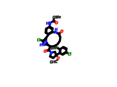 CNc1ccc(Cl)cc1[C@]1(OC=O)CCN(C(=O)C2CCCCC(=O)Nc3cc(NC(=O)OC)ccc3-c3nc2[nH]c3Cl)C1